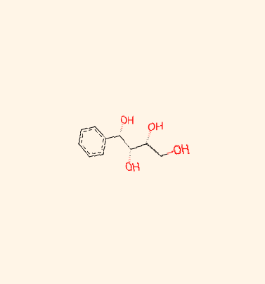 OC[C@@H](O)[C@H](O)[C@@H](O)c1ccccc1